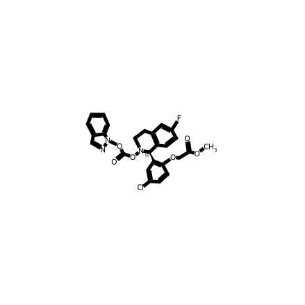 COC(=O)COc1ccc(Cl)cc1[C@@H]1c2ccc(F)cc2CCN1OC(=O)On1ncc2ccccc21